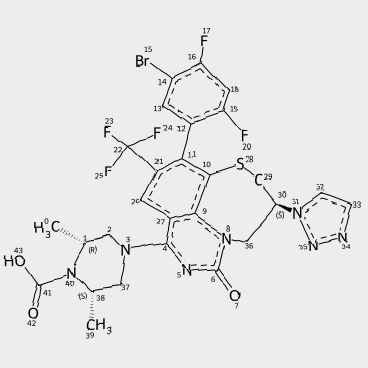 C[C@@H]1CN(c2nc(=O)n3c4c(c(-c5cc(Br)c(F)cc5F)c(C(F)(F)F)cc24)SC[C@@H](n2ccnn2)C3)C[C@H](C)N1C(=O)O